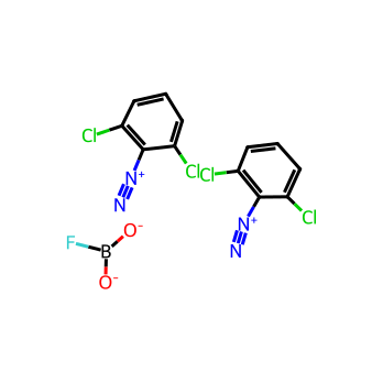 N#[N+]c1c(Cl)cccc1Cl.N#[N+]c1c(Cl)cccc1Cl.[O-]B([O-])F